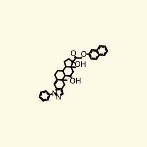 CC12Cc3cnn(-c4ccccc4)c3C=C1CCC1C2[C@@H](O)CC2(C)C1CC[C@]2(O)C(=O)COc1ccc2ccccc2c1